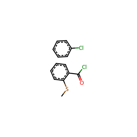 CSc1ccccc1C(=O)Cl.Clc1ccccc1